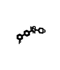 Fc1cccc(-c2ccc(-c3noc(C4CCOCC4)n3)cc2)c1